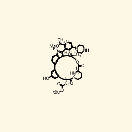 CCn1c(-c2cc(N3CCNCC3)cnc2[C@H](C)OC)c2c3cc(ccc31)-c1cc(O)cc(c1)C[C@H](NC(=O)OC(C)(C)C)C(=O)N1CCC[C@H](N1)C(=O)OCC(C)(C)C2